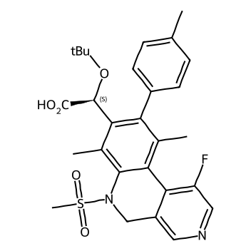 Cc1ccc(-c2c(C)c3c(c(C)c2[C@H](OC(C)(C)C)C(=O)O)N(S(C)(=O)=O)Cc2cncc(F)c2-3)cc1